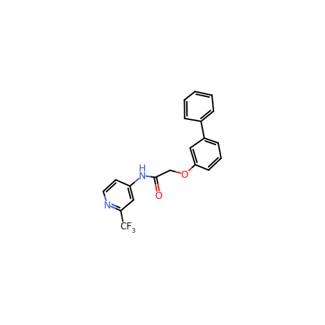 O=C(COc1cccc(-c2ccccc2)c1)Nc1ccnc(C(F)(F)F)c1